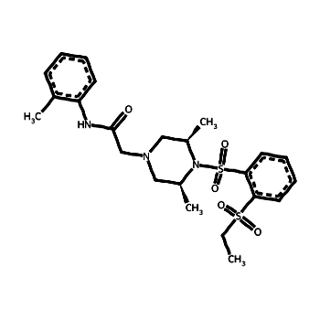 CCS(=O)(=O)c1ccccc1S(=O)(=O)N1[C@H](C)CN(CC(=O)Nc2ccccc2C)C[C@@H]1C